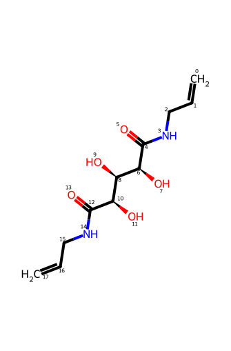 C=CCNC(=O)[C@@H](O)[C@H](O)[C@@H](O)C(=O)NCC=C